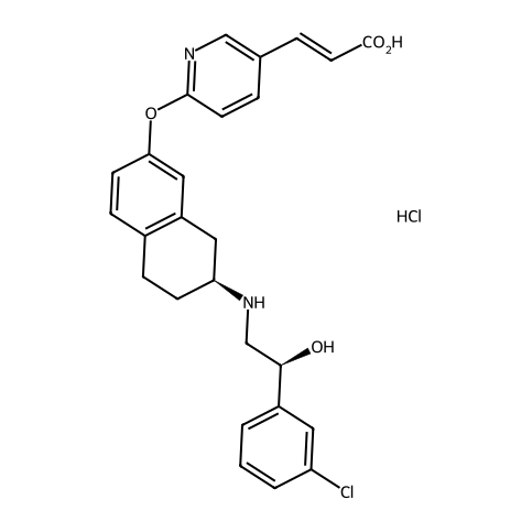 Cl.O=C(O)C=Cc1ccc(Oc2ccc3c(c2)C[C@@H](NC[C@@H](O)c2cccc(Cl)c2)CC3)nc1